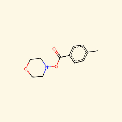 Cc1ccc(C(=O)ON2CCOCC2)cc1